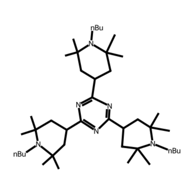 CCCCN1C(C)(C)CC(c2nc(C3CC(C)(C)N(CCCC)C(C)(C)C3)nc(C3CC(C)(C)N(CCCC)C(C)(C)C3)n2)CC1(C)C